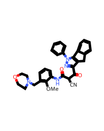 COc1c(CN2CCOCC2)cccc1NC(=O)C(C#N)C(=O)c1nn(-c2ccccc2)c2c1Cc1ccccc1-2